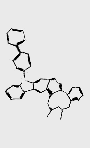 CC1Cc2ccccc2-c2ccc3cc4c(cc3c2CC1C)c1ccccc1n4-c1ccc(-c2ccccc2)cc1